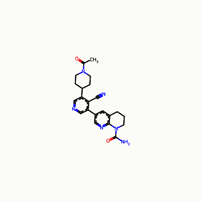 CC(=O)N1CCC(c2cncc(-c3cnc4c(c3)CCCN4C(N)=O)c2C#N)CC1